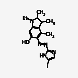 CCN1c2cc(O)c(N=Nc3ncc(I)[nH]3)c(C)c2C(C)C1C